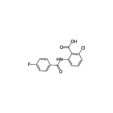 O=C(Nc1cccc(Cl)c1C(=O)O)c1ccc(F)cc1